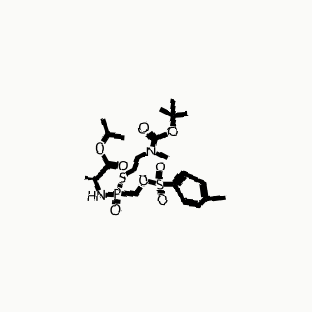 Cc1ccc(S(=O)(=O)OCP(=O)(N[C@@H](C)C(=O)OC(C)C)SCCN(C)C(=O)OC(C)(C)C)cc1